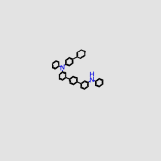 C1=CC(c2ccc(N(c3ccccc3)c3cccc(-c4ccc(-c5cccc(Nc6ccccc6)c5)cc4)c3)cc2)=CCC1